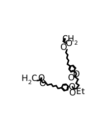 C=CC(=O)OCCCCCCc1ccc(OC(=O)CCCC(CC)C(=O)Oc2ccc(CCCCCCOC(=O)C=C)cc2)cc1